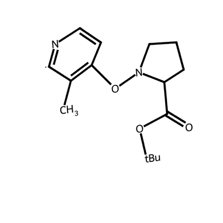 Cc1[c]nccc1ON1CCCC1C(=O)OC(C)(C)C